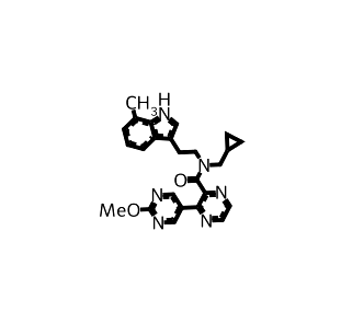 COc1ncc(-c2nccnc2C(=O)N(CCc2c[nH]c3c(C)cccc23)CC2CC2)cn1